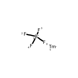 F[B-](F)(F)F.[Tm]